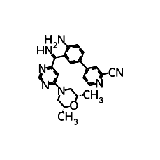 C[C@@H]1CN(c2cc(C(=N)c3cc(-c4ccnc(C#N)c4)ccc3N)ncn2)C[C@H](C)O1